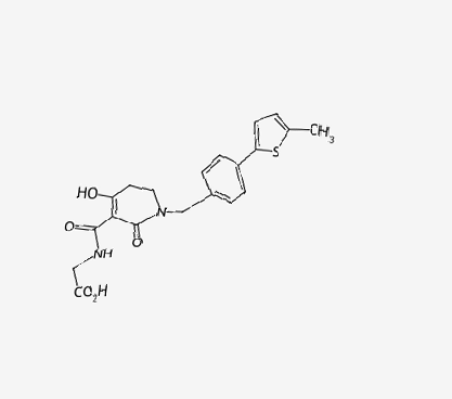 Cc1ccc(-c2ccc(CN3CCC(O)=C(C(=O)NCC(=O)O)C3=O)cc2)s1